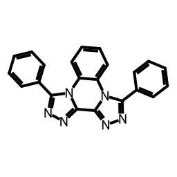 c1ccc(-c2nnc3c4nnc(-c5ccccc5)n4c4ccccc4n23)cc1